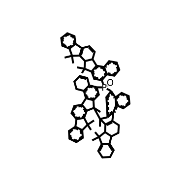 CC1(C)C2=C(C=CC3c4c(cc(P5(=O)c6cc7c(c8c6C=CCC8)-c6ccc8c(c6C7(C)C6(C)C7=C(CCC9C%10=CCCC=C%10C(C)(C)C79)c7c6cc5c5ccccc75)C(C)(C)c5ccccc5-8)c5ccccc45)C(C)(C)C23)c2ccccc21